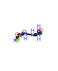 CC1(C)C(=O)C(c2ccc(C#N)c(C(F)(F)F)c2)C(=S)N1c1ccc(C(=O)NCCCCCCNCc2ccc(-c3[nH]c4cc(F)cc5c4c3CCNC5=O)cc2)c(F)c1